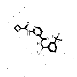 C[C@@H](NC(=O)c1ccnc(NC(=O)C2CCC2)n1)c1cccc(C(F)(F)F)c1